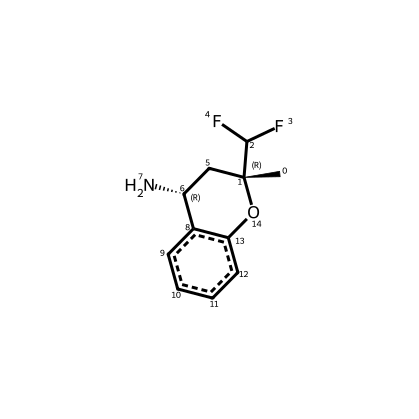 C[C@]1(C(F)F)C[C@@H](N)c2ccccc2O1